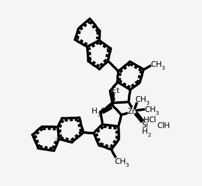 CCC1=Cc2c(-c3ccc4ccccc4c3)cc(C)cc2[CH]1[Zr]([CH3])([CH3])(=[SiH2])[CH]1C(C)=Cc2c(-c3ccc4ccccc4c3)cc(C)cc21.Cl.Cl